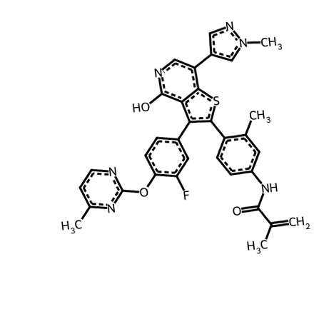 C=C(C)C(=O)Nc1ccc(-c2sc3c(-c4cnn(C)c4)cnc(O)c3c2-c2ccc(Oc3nccc(C)n3)c(F)c2)c(C)c1